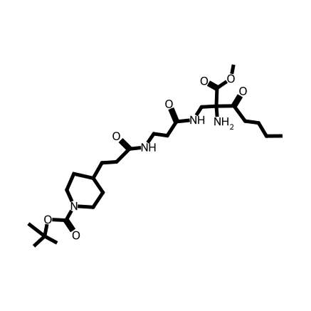 CCCCC(=O)C(N)(CNC(=O)CCNC(=O)CCC1CCN(C(=O)OC(C)(C)C)CC1)C(=O)OC